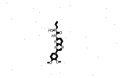 C=CCN(S)C(=O)Nc1ccc2ncc(-c3ccc(OC)c(OC)c3)nc2n1